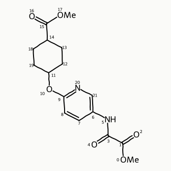 COC(=O)C(=O)Nc1ccc(OC2CCC(C(=O)OC)CC2)nc1